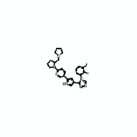 Fc1cccc(-n2cnnc2-c2c[nH]c(-c3ccc(N4CCCC4CN4CCCC4)nc3)c2)c1F